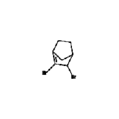 BrC1=C2CCC(C2)C1Br